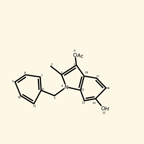 CC(=O)Oc1c(C)n(Cc2ccccc2)c2cc(O)ccc12